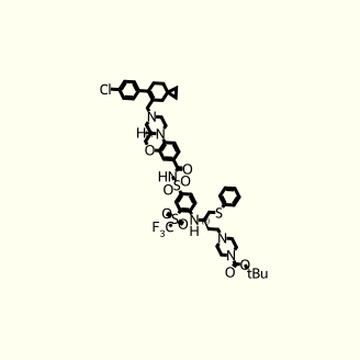 CC(C)(C)OC(=O)N1CCN(CC[C@H](CSc2ccccc2)Nc2ccc(S(=O)(=O)NC(=O)c3ccc4c(c3)OC[C@@H]3CN(CC5=C(c6ccc(Cl)cc6)CCC6(CC6)C5)CCN43)cc2S(=O)(=O)C(F)(F)F)CC1